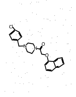 O=C(COc1cccc2ccccc12)N1CCN(Cc2ccc(Cl)cc2)CC1